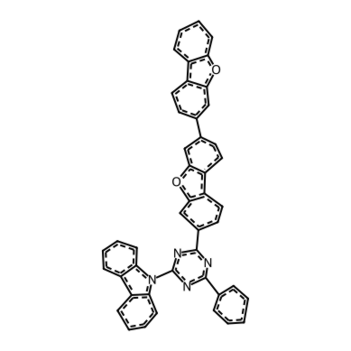 c1ccc(-c2nc(-c3ccc4c(c3)oc3cc(-c5ccc6c(c5)oc5ccccc56)ccc34)nc(-n3c4ccccc4c4ccccc43)n2)cc1